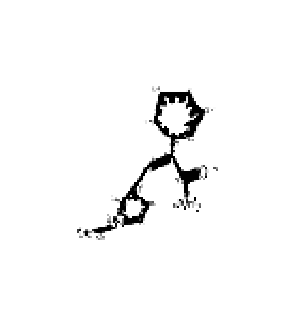 CCn1ccc(C=C(C(N)=O)c2ccccc2)c1